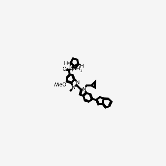 COc1cc(C(=O)N2C[C@H]3CC[C@@H]2[C@H]3N)cc2nc(-c3cc4ccc(C5=Cc6ccccc6C5)cc4n3CC3CC3)n(C)c12